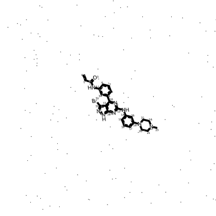 C=CC(=O)Nc1cccc(-c2nc(Nc3cccc(N4CCN(C)CC4)c3)nc3[nH]nc(Br)c23)c1